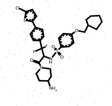 NC1CCN(C(=O)C(NS(=O)(=O)c2ccc(OCC3CCCCC3)cc2)C(F)(F)c2ccc(-c3ccc(Cl)s3)cc2)CC1